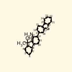 CC1(C)c2ccccc2-c2ccc(-c3ccc4c(c3)sc3ccccc34)c(N)c21